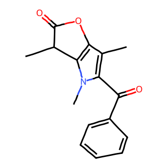 Cc1c2c(n(C)c1C(=O)c1ccccc1)C(C)C(=O)O2